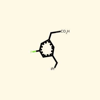 CC(C)Cc1cc(F)cc(CC(=O)O)c1